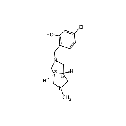 CN1C[C@H]2CN(Cc3ccc(Cl)cc3O)C[C@@H]2C1